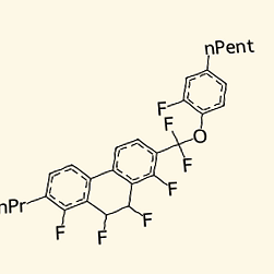 CCCCCc1ccc(OC(F)(F)c2ccc3c(c2F)C(F)C(F)c2c-3ccc(CCC)c2F)c(F)c1